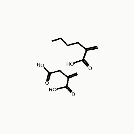 C=C(CC(=O)O)C(=O)O.C=C(CCCC)C(=O)O